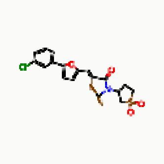 O=C1/C(=C/c2ccc(-c3cccc(Cl)c3)o2)SC(=S)N1C1CCS(=O)(=O)C1